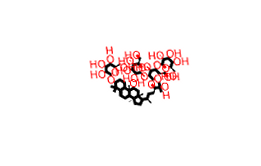 C[C@H](CC[C@@H](O[C@@H]1O[C@H](CO)[C@@H](O[C@@H]2O[C@H](CO)[C@@H](O)[C@H](O)[C@H]2O)[C@H](O)[C@H]1O[C@@H]1O[C@H](CO)[C@@H](O)[C@H](O)[C@H]1O)C(C)(C)O)C1CC[C@@]2(C)C3CC=C4C(CC[C@H](O[C@@H]5O[C@H](CO)[C@@H](O)[C@H](O)[C@H]5O)C4(C)C)[C@]3(C)[C@H](O)C[C@]12C